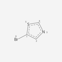 Brc1cn[c]s1